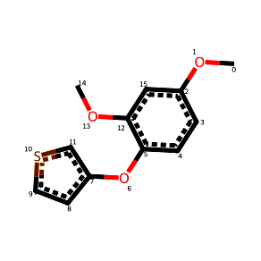 COc1ccc(Oc2c[c]sc2)c(OC)c1